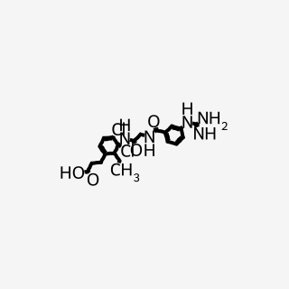 CCC1C(CCC(=O)O)=CC=C(Cl)C1(Cl)NC(=O)CNC(=O)c1cccc(NC(=N)N)c1